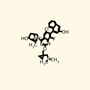 CC1=[N+](c2nc(OCC3(CN(C)C)CC3)nc3c(F)c(-c4cc(O)cc5ccccc45)c(Cl)cc23)CC2CC(O)C1N2